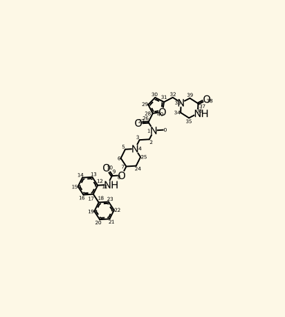 CN(CCN1CCC(OC(=O)Nc2ccccc2-c2ccccc2)CC1)C(=O)c1ccc(CN2CCNC(=O)C2)o1